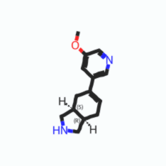 COc1cncc(C2=CC[C@H]3CNC[C@H]3C2)c1